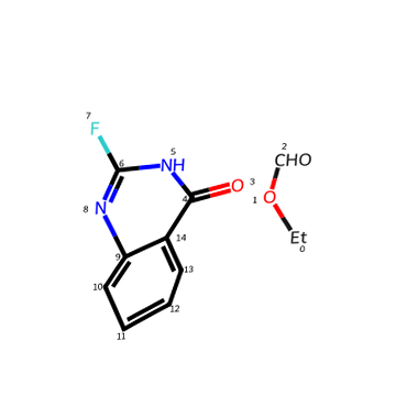 CCOC=O.O=c1[nH]c(F)nc2ccccc12